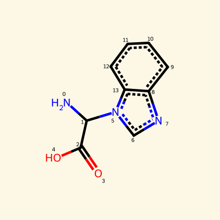 NC(C(=O)O)n1cnc2ccccc21